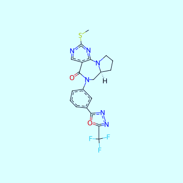 CSc1ncc2c(n1)N1CCC[C@H]1CN(c1cccc(-c3nnc(C(F)(F)F)o3)c1)C2=O